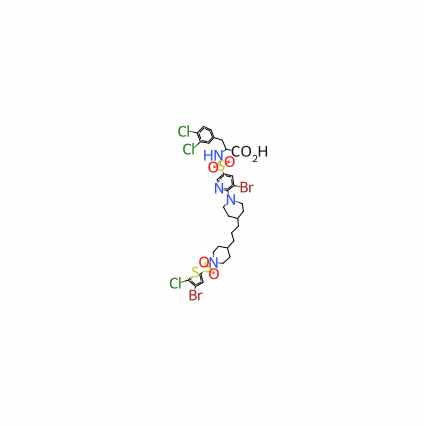 O=C(O)C(Cc1ccc(Cl)c(Cl)c1)NS(=O)(=O)c1cnc(N2CCC(CCCC3CCN(S(=O)(=O)c4cc(Br)c(Cl)s4)CC3)CC2)c(Br)c1